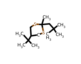 CC(C)(C)CC1(C)SCC(C(C)(C)C)CS1